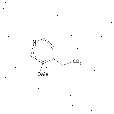 COc1nnccc1CC(=O)O